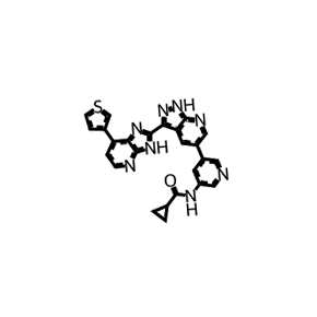 O=C(Nc1cncc(-c2cnc3[nH]nc(-c4nc5c(-c6ccsc6)ccnc5[nH]4)c3c2)c1)C1CC1